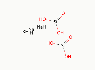 O=[Si](O)O.O=[Si](O)O.[KH].[NaH].[NaH]